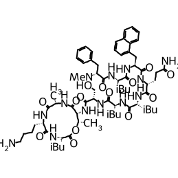 CC[C@H](C)[C@H](NC(=O)[C@@H](Cc1ccccc1)NC)C(=O)N[C@@H](Cc1cccc2ccccc12)C(=O)N[C@H](CCC(N)=O)C(=O)N[C@@H](C(=O)N[C@H](C(=O)N[C@@H](CO)C(=O)N[C@H]1C(=O)N[C@@H](C)C(=O)N[C@@H](CCCCN)C(=O)N[C@@H]([C@@H](C)CC)C(=O)O[C@H]1C)[C@@H](C)CC)[C@@H](C)CC